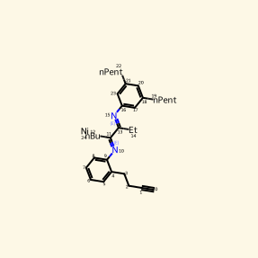 C#CCCc1ccccc1/N=C(CCCC)/C(CC)=N/c1cc(CCCCC)cc(CCCCC)c1.[Ni]